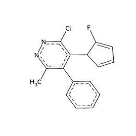 Cc1nnc(Cl)c(C2C=CC=C2F)c1-c1ccccc1